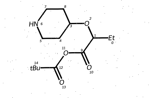 CCC(OC1CCNCC1)C(=O)OC(=O)C(C)(C)C